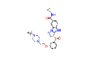 CN1CCN(CCOc2cccc(C(=O)c3cnn4c3[nH]c3ccc(C(=O)NC5CC5)cc34)c2)CC1